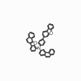 c1ccc2c(c1)ccc1ccc(N(c3ccc(-c4ccc5c(c4)oc4ccccc45)cc3)c3cccc4c3oc3c5ccccc5ccc43)cc12